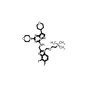 C[Si](C)(C)CCOCn1c(CNc2nc(N3CCOCC3)nc3c(C4CCOCC4)cnn23)nc2c(F)c(F)ccc21